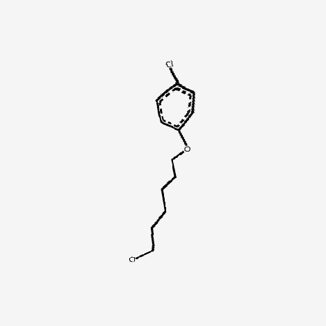 ClCCCCCCOc1ccc(Cl)cc1